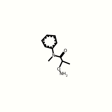 CC(ON)C(=O)N(C)c1ccccc1